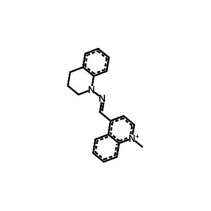 C[n+]1ccc(C=NN2CCCc3ccccc32)c2ccccc21